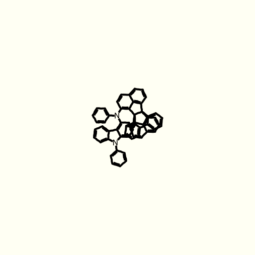 c1ccc(N(c2ccc3cccc4c3c2C23c5ccccc5-c5ccccc5C42c2cccc4cccc3c24)c2cccc3c2c2ccccc2n3-c2ccccc2)cc1